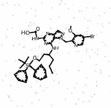 CCCC(CCO[Si](c1ccccc1)(c1ccccc1)C(C)(C)C)Nc1nc(NC(=O)O)nc2cnn(Cc3ncc(Br)cc3OC)c12